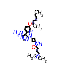 C=C/C=C\C=C(/C)Oc1ccc(-c2c(N)ncnc2N[C@H]2C[C@H](NC(=O)/C=C/CN(C)C)C2)cc1